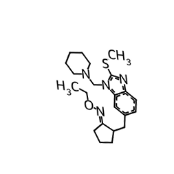 CCON=C1CCCC1Cc1ccc2nc(SC)n(CN3CCCCC3)c2c1